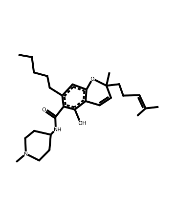 CCCCCc1cc2c(c(O)c1C(=O)NC1CCN(C)CC1)C=CC(C)(CCC=C(C)C)O2